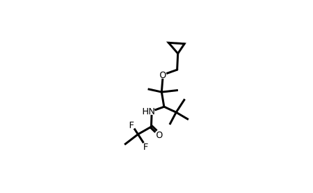 CC(F)(F)C(=O)NC(C(C)(C)C)C(C)(C)OCC1CC1